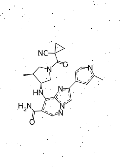 Cc1cc(-c2cn3ncc(C(N)=O)c(N[C@@H]4CN(C(=O)C5(C#N)CC5)C[C@@H]4C)c3n2)ccn1